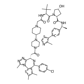 Cc1ncsc1-c1ccc([C@H](C)NC(=O)[C@@H]2C[C@@H](O)CN2C(=O)[C@@H](NC(=O)CN2CCC(N3CCN(C(=O)C[C@@H]4N=C(c5ccc(Cl)cc5)c5c(sc(C)c5C)-n5c(C)nnc54)CC3)CC2)C(C)(C)C)cc1